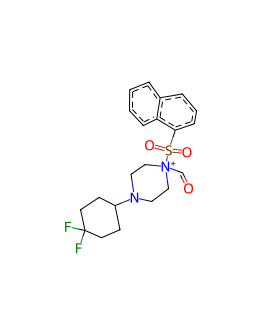 O=C[N+]1(S(=O)(=O)c2cccc3ccccc23)CCN(C2CCC(F)(F)CC2)CC1